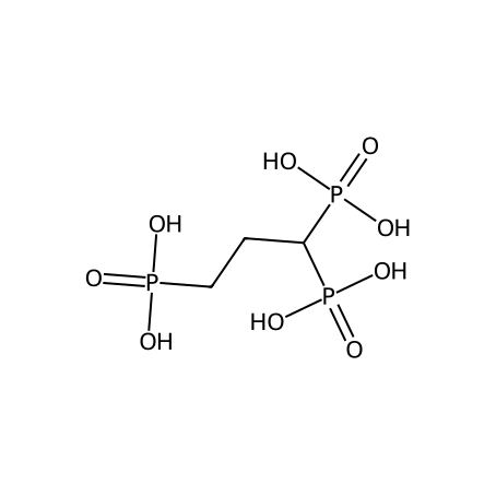 O=P(O)(O)CCC(P(=O)(O)O)P(=O)(O)O